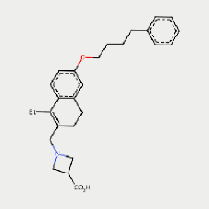 CCC1=C(CN2CC(C(=O)O)C2)CCc2cc(OCCCCc3ccccc3)ccc21